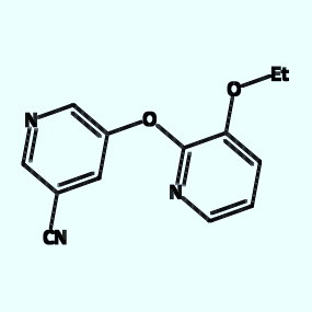 CCOc1cccnc1Oc1cncc(C#N)c1